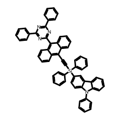 C(#C[Si](c1ccccc1)(c1ccccc1)c1ccc2c(c1)c1ccccc1n2-c1ccccc1)c1c2ccccc2c(-c2nc(-c3ccccc3)nc(-c3ccccc3)n2)c2ccccc12